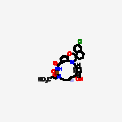 O=C(O)CCN1CC/C=C/C(O)[C@@H]2CC[C@H]2CN2C[C@@]3(CCCc4cc(Cl)ccc43)COc3ccc(cc32)C(=O)NS1(=O)=O